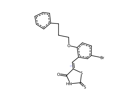 O=C1NC(=S)S/C1=C\c1cc(Br)ccc1OCCCc1ccccc1